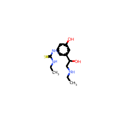 CCNC(N)=S.CCNCC(O)c1cccc(O)c1